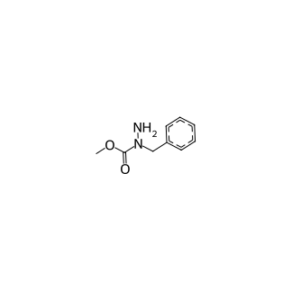 COC(=O)N(N)Cc1ccccc1